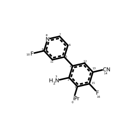 CC(C)c1c(N)c(-c2ccnc(F)c2)cc(C#N)c1F